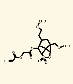 C=CC(=O)OCC(=O)OC1C2C34OC1(CCOC=O)CC3(COC=O)C4OS2(=O)=O